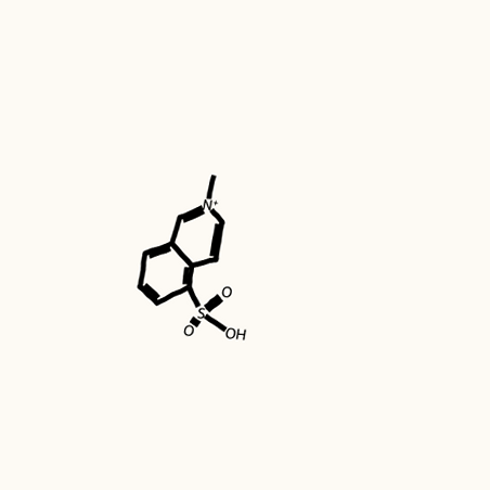 C[n+]1ccc2c(S(=O)(=O)O)cccc2c1